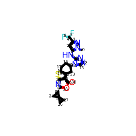 Cn1nc(C(F)F)cc1Nc1nncn1[C@H]1CCc2sc3nc([C@H]4CC45CC5)oc(=O)c3c2C1